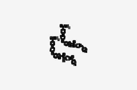 NC(=O)c1ccc(N2CCC(Oc3ccc4oc(C(=O)NC5CCN(C(=O)c6ccncc6)CC5)cc4c3)CC2)cc1.NC(=O)c1ccc(N2CCC(Oc3ccc4oc(C(=O)NC5CCN(Cc6ccncc6)CC5)cc4c3)CC2)cc1